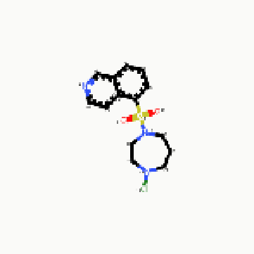 O=S(=O)(c1cccc2cnccc12)N1CCCN(Cl)CC1